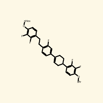 CCCCCCOc1ccc(CCc2ccc(C3=CCC(c4ccc(OCCC)c(F)c4F)CC3)cc2F)c(F)c1F